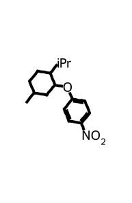 CC1CCC(C(C)C)C(Oc2ccc([N+](=O)[O-])cc2)C1